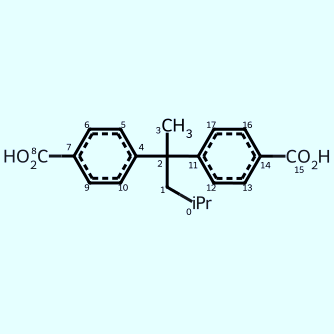 CC(C)CC(C)(c1ccc(C(=O)O)cc1)c1ccc(C(=O)O)cc1